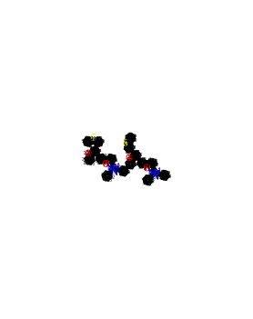 c1ccc(-c2nc(-c3cccc(-c4ccc5c(c4)oc4c(-c6ccc7sc8ccccc8c7c6)ccc(-c6ccc7oc8c(-c9nc(-c%10ccccc%10)nc(-c%10ccccc%10)n9)cccc8c7c6)c45)c3)nc(-c3cccc4c3oc3ccc(-c5cc(-c6cccc7sc8ccccc8c67)cc6oc7ccccc7c56)cc34)n2)cc1